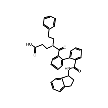 O=C(O)CCN(CCc1ccccc1)C(=O)c1ccccc1-c1ccccc1C(=O)NC1CCc2ccccc21